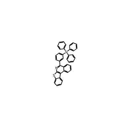 c1ccc([Si](c2ccccc2)(c2ccccc2)c2cccc(-c3nc4sc5ccccc5c4c4ccccc34)c2)cc1